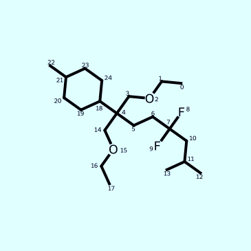 CCOCC(CCC(F)(F)CC(C)C)(COCC)C1CCC(C)CC1